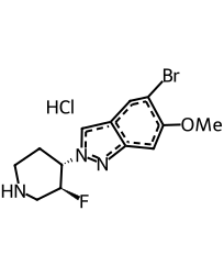 COc1cc2nn([C@H]3CCNC[C@@H]3F)cc2cc1Br.Cl